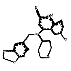 O=c1cc(N(Cc2ccc3c(c2)OCO3)C2CCNCC2)c2cc(Cl)ccc2[nH]1